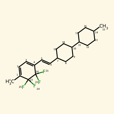 CC1=CC=C(/C=C/C2CCC(C3CCC(C)CC3)CC2)C(F)(F)C1(F)F